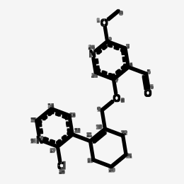 COc1cc(C=O)c(OCC2=C(c3cccnc3Cl)CCCC2)cn1